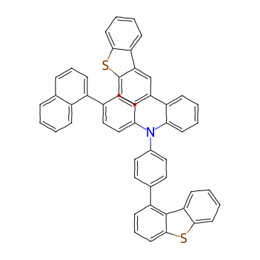 c1ccc(N(c2ccc(-c3cccc4ccccc34)cc2)c2ccc(-c3cccc4sc5ccccc5c34)cc2)c(-c2ccc3sc4ccccc4c3c2)c1